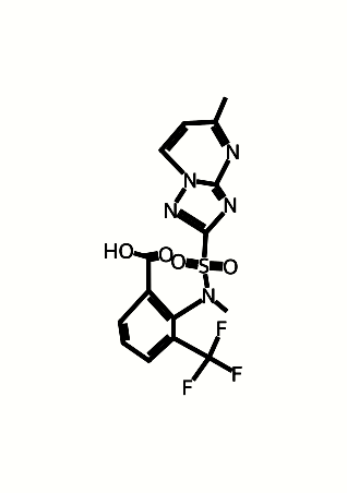 Cc1ccn2nc(S(=O)(=O)N(C)c3c(C(=O)O)cccc3C(F)(F)F)nc2n1